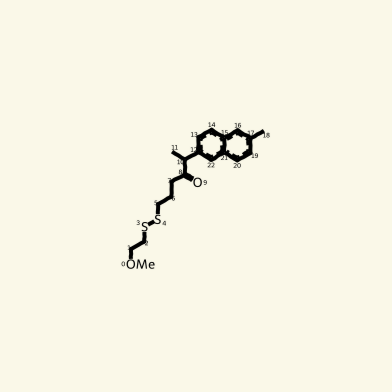 COCCSSCCCC(=O)C(C)c1ccc2cc(C)ccc2c1